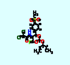 C=CC(CC)OC(=O)OC(c1ccc(S(C)(=O)=O)cc1)C(CF)NC(=O)C(Cl)Cl